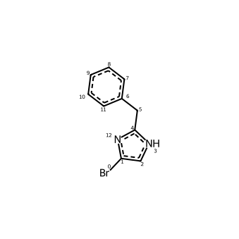 Brc1c[nH]c(Cc2ccccc2)n1